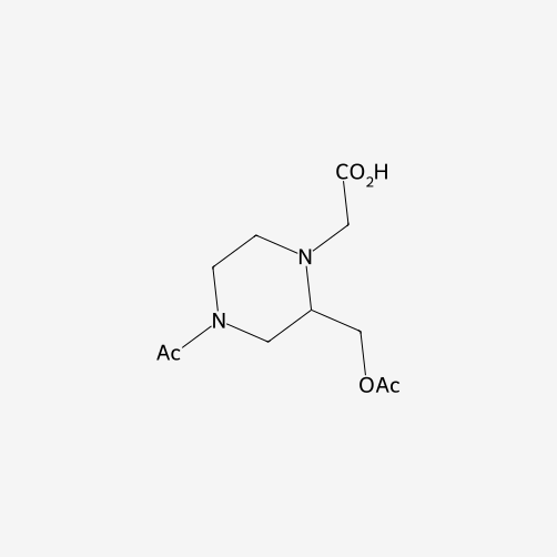 CC(=O)OCC1CN(C(C)=O)CCN1CC(=O)O